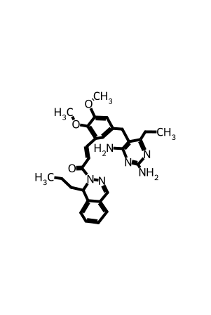 CCCC1c2ccccc2C=NN1C(=O)C=Cc1cc(Cc2c(N)nc(N)nc2CC)cc(OC)c1OC